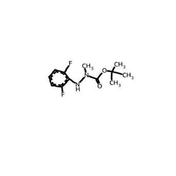 CN(Nc1c(F)cccc1F)C(=O)OC(C)(C)C